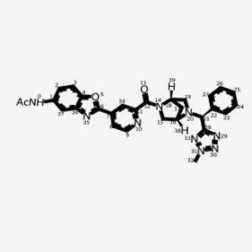 CC(=O)Nc1ccc2oc(-c3ccnc(C(=O)N4C[C@@H]5C[C@H]4CN5[C@@H](c4ccccc4)c4nnn(C)n4)c3)nc2c1